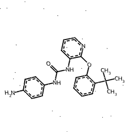 CC(C)(C)c1ccccc1Oc1ncccc1NC(=O)Nc1ccc(N)cc1